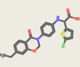 CCc1ccc2c(c1)OCN(c1ccc(NC(C(=O)O)c3ccc(Cl)s3)cc1)C2=O